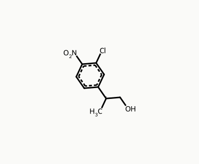 C[C](CO)c1ccc([N+](=O)[O-])c(Cl)c1